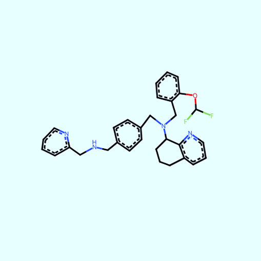 FC(F)Oc1ccccc1CN(Cc1ccc(CNCc2ccccn2)cc1)C1CCCc2cccnc21